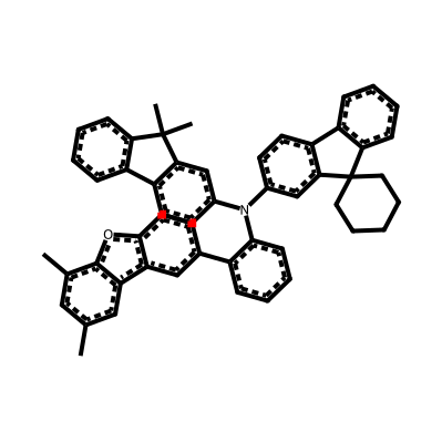 Cc1cc(C)c2oc3ccc(-c4ccccc4N(c4ccc5c(c4)C(C)(C)c4ccccc4-5)c4ccc5c(c4)C4(CCCCC4)c4ccccc4-5)cc3c2c1